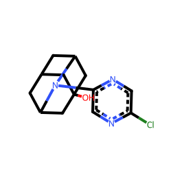 OC12CC3CC(C1)N(c1cnc(Cl)cn1)C(C3)C2